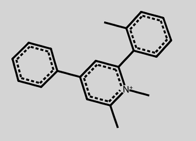 Cc1ccccc1-c1cc(-c2ccccc2)cc(C)[n+]1C